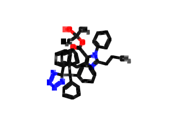 CCCc1nc(Cc2ccccc2C2(C(c3ccccc3)(c3ccccc3)c3ccccc3)N=NN=N2)c(C(=O)OC(C)(C)O)n1-c1ccccc1